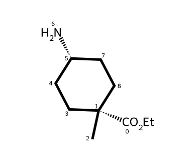 CCOC(=O)[C@]1(C)CC[C@H](N)CC1